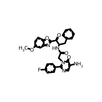 COc1ccc2oc(C(=O)C(Cc3ccccc3)NC(=O)Cn3c(-c4ccc(F)cc4)ncc(N)c3=O)nc2c1